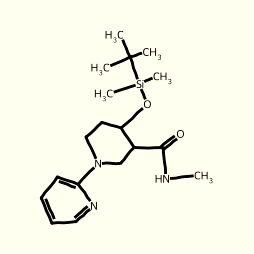 CNC(=O)C1CN(c2ccccn2)CCC1O[Si](C)(C)C(C)(C)C